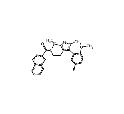 COc1ccc(F)cc1-c1c2c(nn1C)[C@H](C)N(C(=O)c1ccc3ncccc3c1)CC2